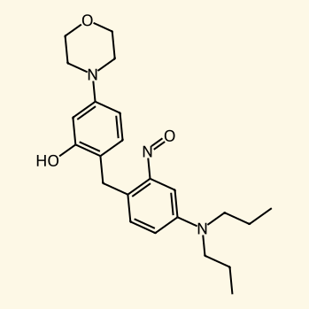 CCCN(CCC)c1ccc(Cc2ccc(N3CCOCC3)cc2O)c(N=O)c1